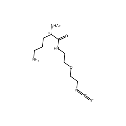 CC(=O)N[C@@H](CCCN)C(=O)NCCOCCN=[N+]=[N-]